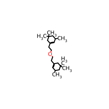 CC1C=C(CCOCCC2=CC(C)CC(C)(C)C2)CC(C)(C)C1